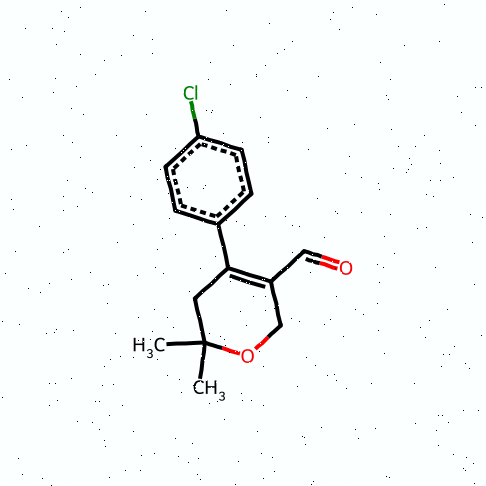 CC1(C)CC(c2ccc(Cl)cc2)=C(C=O)CO1